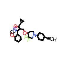 C#Cc1ccc(N2CCC(OCc3c(-c4ccccc4OC(F)(F)F)noc3C3CC3)C(F)(F)C2)cc1